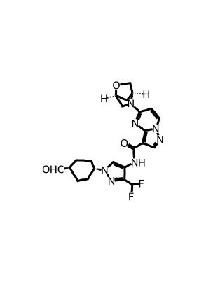 O=C[C@H]1CC[C@@H](n2cc(NC(=O)c3cnn4ccc(N5C[C@@H]6C[C@H]5CO6)nc34)c(C(F)F)n2)CC1